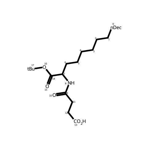 CCCCCCCCCCCCCCCCC(NC(=O)CCC(=O)O)C(=O)OC(C)(C)C